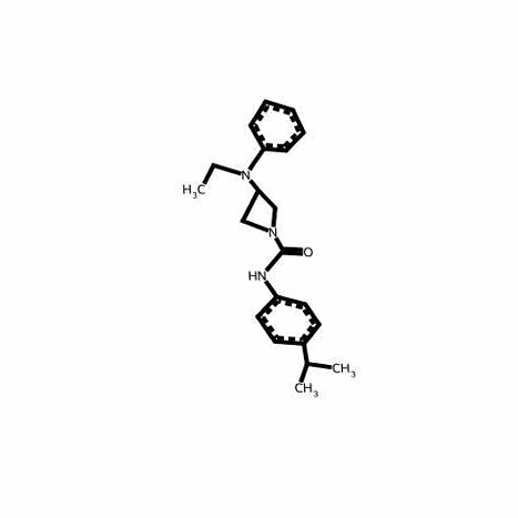 CCN(c1ccccc1)C1CN(C(=O)Nc2ccc(C(C)C)cc2)C1